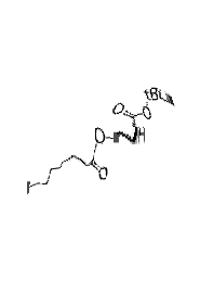 CC(C)(C)OC(=O)NOC(=O)CCCCI